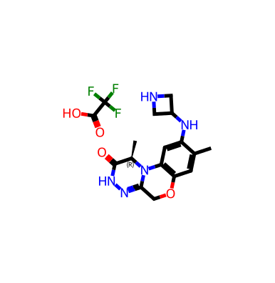 Cc1cc2c(cc1NC1CNC1)N1C(=NNC(=O)[C@H]1C)CO2.O=C(O)C(F)(F)F